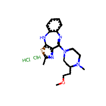 COCCC1CN(C2=Nc3ccccc3Nc3sc(C)nc32)CCN1C.Cl.Cl